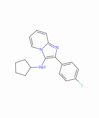 Fc1ccc(-c2nc3ccccn3c2NC2CCCC2)cc1